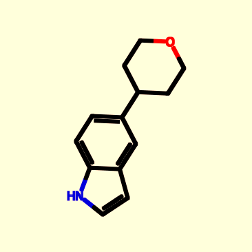 c1cc2cc(C3CCOCC3)ccc2[nH]1